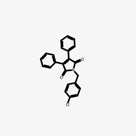 O=C1C(c2ccccc2)=C(c2ccccc2)C(=O)N1Cc1ccc(Cl)cc1